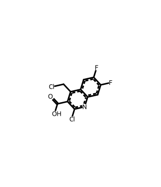 O=C(O)c1c(Cl)nc2cc(F)c(F)cc2c1CCl